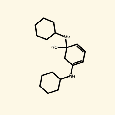 OC1(NC2CCCCC2)C=CC=C(NC2CCCCC2)C1